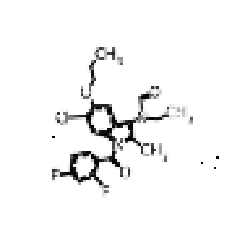 CCCOc1cc2c(N(C=O)CC)c(C)n(C(=O)c3ccc(F)cc3F)c2cc1Cl